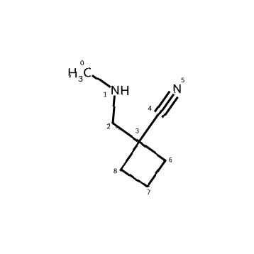 CNCC1(C#N)CCC1